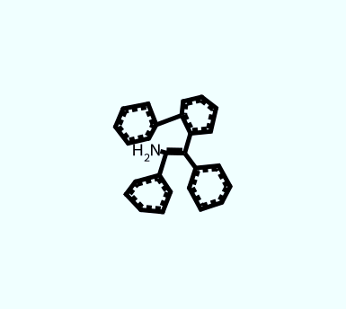 NC(=C(c1ccccc1)c1ccccc1-c1ccccc1)c1ccccc1